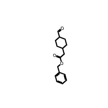 O=CC1CCC(CC(=O)OCc2ccccc2)CC1